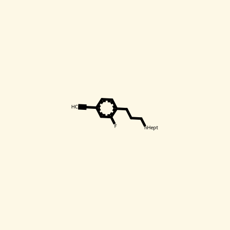 C#Cc1ccc(CCCCCCCCCC)c(F)c1